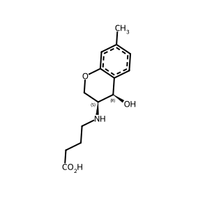 Cc1ccc2c(c1)OC[C@H](NCCCC(=O)O)[C@@H]2O